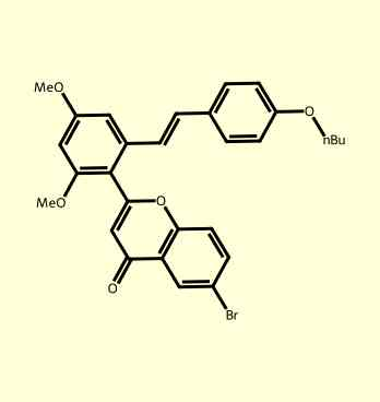 CCCCOc1ccc(C=Cc2cc(OC)cc(OC)c2-c2cc(=O)c3cc(Br)ccc3o2)cc1